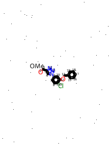 COC(=O)c1cn(-c2ccc(Cl)c(OCc3ccccc3)c2)nn1